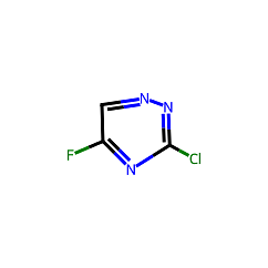 Fc1cnnc(Cl)n1